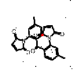 Cc1ccc(C(=O)c2ccc(C)cc2N2C(=O)C=CC2=O)c(N2C(=O)C=CC2=O)c1